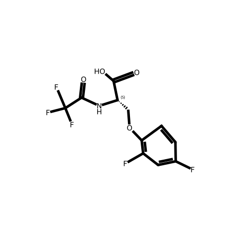 O=C(O)[C@H](COc1ccc(F)cc1F)NC(=O)C(F)(F)F